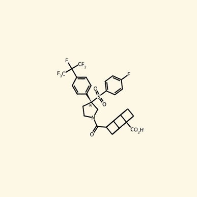 O=C(O)C12C3C4C1C1C2C3C41C(=O)N1CC[C@](c2ccc(C(F)(C(F)(F)F)C(F)(F)F)cc2)(S(=O)(=O)c2ccc(F)cc2)C1